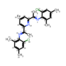 C/C(=N\c1c(C)cc(C)cc1Cl)c1cccc(/C(C)=N/c2c(C)cc(C)cc2Cl)n1.[Fe]